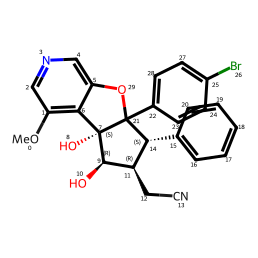 COc1cncc2c1[C@]1(O)[C@H](O)[C@H](CC#N)[C@@H](c3ccccc3)C1(c1ccc(Br)cc1)O2